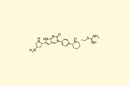 N=C(N)SCC[C@@H]1CCC[C@@H](c2ccc(-n3cc4cc(C5C[C@@H](N)CN5)[nH]c4nc3=O)cc2)N1